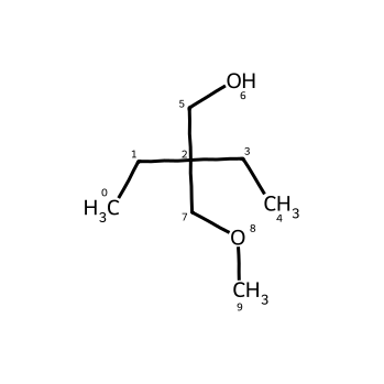 CCC(CC)(CO)COC